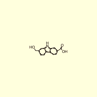 O=C(O)c1ccc2c(c1)[nH]c1cc(CO)ccc12